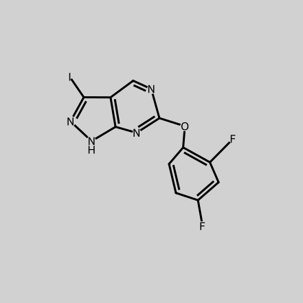 Fc1ccc(Oc2ncc3c(I)n[nH]c3n2)c(F)c1